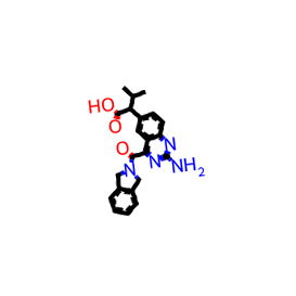 CC(C)C(C(=O)O)c1ccc2nc(N)nc(C(=O)N3Cc4ccccc4C3)c2c1